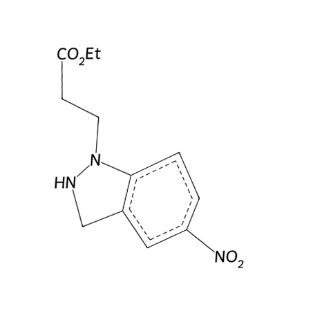 CCOC(=O)CCN1NCc2cc([N+](=O)[O-])ccc21